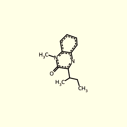 CCC(C)c1nc2ccccc2n(C)c1=O